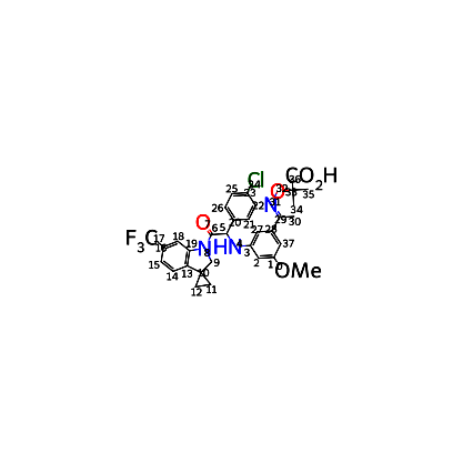 COc1cc(NC(C(=O)N2CC3(CC3)c3ccc(C(F)(F)F)cc32)c2ccc(Cl)cc2)cc(C(C)=NOC(C)(C)C(=O)O)c1